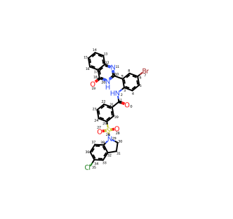 O=C(Nc1ccc(Br)cc1-c1nc2ccccc2c(=O)[nH]1)c1cccc(S(=O)(=O)N2CCc3cc(Cl)ccc32)c1